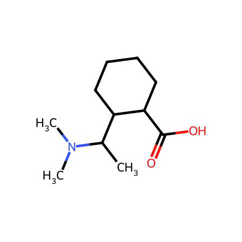 CC(C1CCCCC1C(=O)O)N(C)C